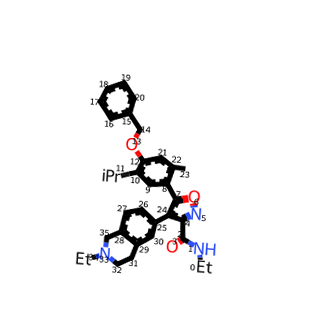 CCNC(=O)c1noc(-c2cc(C(C)C)c(OCc3ccccc3)cc2C)c1-c1ccc2c(c1)CCN(CC)C2